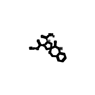 CC(C)(C)OC(=O)N1CC2(C[C@H]1C(N)=O)OCc1ccccc1NC2=O